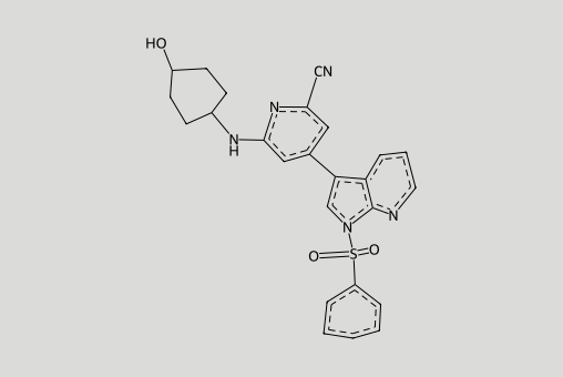 N#Cc1cc(-c2cn(S(=O)(=O)c3ccccc3)c3ncccc23)cc(NC2CCC(O)CC2)n1